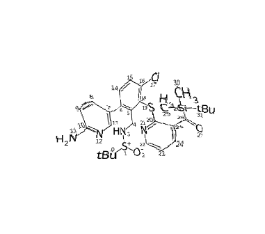 CC(C)(C)[S+]([O-])NCc1c(-c2ccc(N)nc2)ccc(Cl)c1Sc1ncccc1C(=O)[Si](C)(C)C(C)(C)C